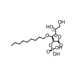 CCCCCCCCCOC1=C(OP(=O)(O)O)C(=O)O[C@@H]1[C@@H](O)CO